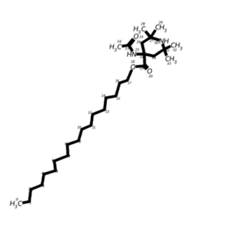 CCCCCCCCCCCCCCCCCCOC(=O)C1(NC(C)=O)CC(C)(C)NC(C)(C)C1